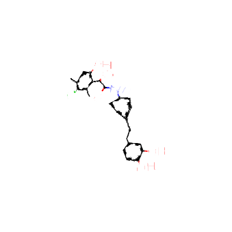 Cc1cc(O)c(C(=O)C(=O)Nc2ccc(CCc3ccc(O)c(O)c3)cc2)c(C)c1Cl